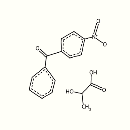 CC(O)C(=O)O.O=C(c1ccccc1)c1ccc([N+](=O)[O-])cc1